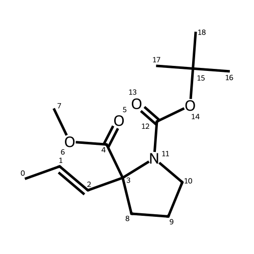 CC=CC1(C(=O)OC)CCCN1C(=O)OC(C)(C)C